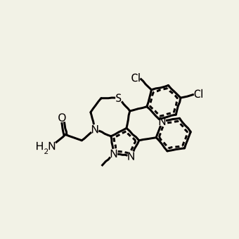 Cn1nc(-c2ccccn2)c2c1N(CC(N)=O)CCSC2c1ccc(Cl)cc1Cl